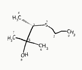 CCS[C@@H](C)C(C)(C)O